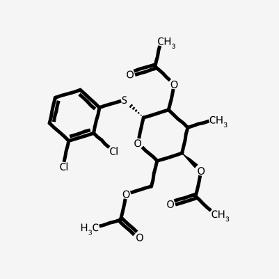 CC(=O)OCC1O[C@H](Sc2cccc(Cl)c2Cl)C(OC(C)=O)C(C)[C@H]1OC(C)=O